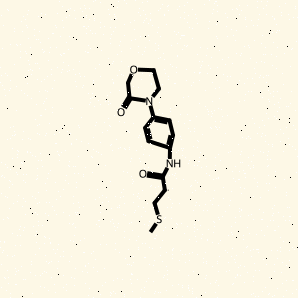 CSC[CH]C(=O)Nc1ccc(N2CCOCC2=O)cc1